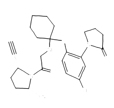 C#C[C@H]1CC[C@@H](C#N)N1C(=O)CNC1(Oc2ccc(C(F)(F)F)cc2N2CCCC2=O)CCCCC1